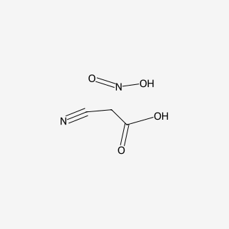 N#CCC(=O)O.O=NO